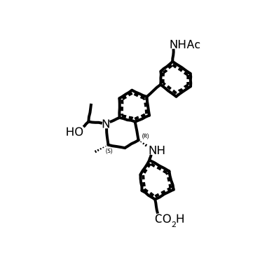 CC(=O)Nc1cccc(-c2ccc3c(c2)[C@H](Nc2ccc(C(=O)O)cc2)C[C@H](C)N3C(C)O)c1